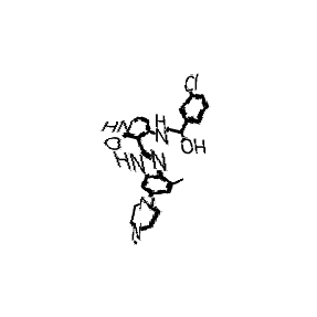 Cc1cc(N2CCN(C)CC2)cc2[nH]c(-c3c(NCC(O)c4cccc(Cl)c4)cc[nH]c3=O)nc12